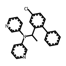 CC(c1cc(Cl)ccc1-c1ccccc1)N(c1cccnc1)c1cccnc1